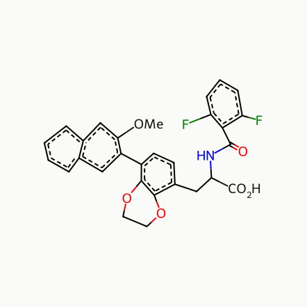 COc1cc2ccccc2cc1-c1ccc(CC(NC(=O)c2c(F)cccc2F)C(=O)O)c2c1OCCO2